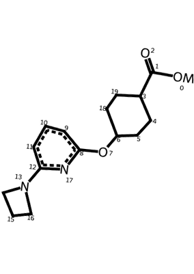 COC(=O)C1CCC(Oc2cccc(N3CCC3)n2)CC1